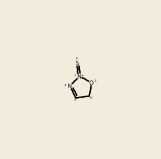 S=[N+]1N=CCO1